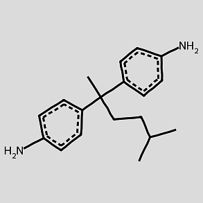 CC(C)CCC(C)(c1ccc(N)cc1)c1ccc(N)cc1